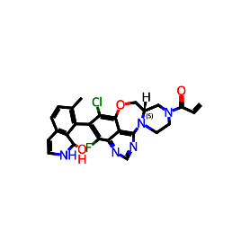 C=CC(=O)N1CCN2c3ncnc4c(F)c(-c5c(C)ccc6c5C(O)NC=C6)c(Cl)c(c34)OC[C@@H]2C1